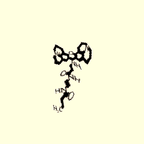 CCCC(=O)NCCNC(=O)CCNC1=c2cc3c4c(c2Oc2c1cc1c5c2CCCN5CCC1)CCC[N+]=4CCC3